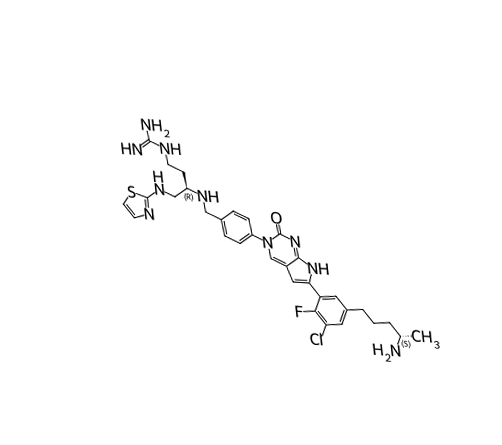 C[C@H](N)CCCc1cc(Cl)c(F)c(-c2cc3cn(-c4ccc(CN[C@H](CCNC(=N)N)CNc5nccs5)cc4)c(=O)nc3[nH]2)c1